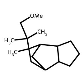 COCC(C)(C)C1(C)CC2CC1C1CCCC21